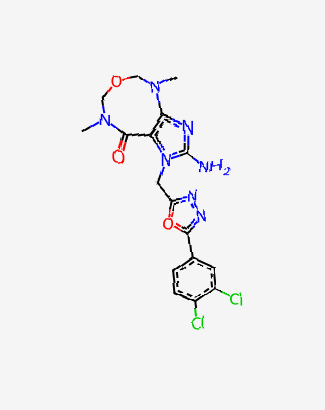 CN1COCN(C)c2nc(N)n(Cc3nnc(-c4ccc(Cl)c(Cl)c4)o3)c2C1=O